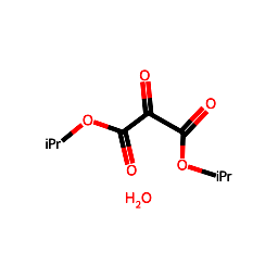 CC(C)OC(=O)C(=O)C(=O)OC(C)C.O